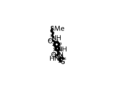 CSCCCNC(=O)c1ccc2[nH]c(-c3nc4cscc4[nH]c3=O)cc2c1